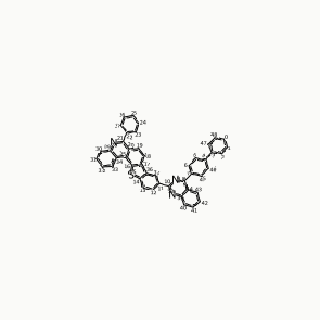 c1ccc(-c2ccc(-c3nc(-c4ccc5sc6c(ccc7c(-c8ccccc8)nc8ccccc8c76)c5c4)nc4ccccc34)cc2)cc1